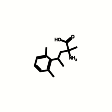 Cc1cccc(C)c1C(C)CC(C)(N)C(=O)O